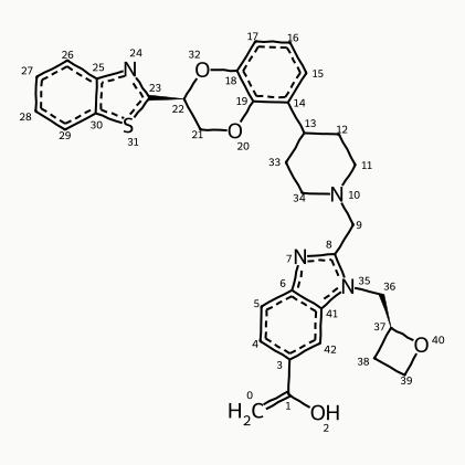 C=C(O)c1ccc2nc(CN3CCC(c4cccc5c4OC[C@@H](c4nc6ccccc6s4)O5)CC3)n(C[C@@H]3CCO3)c2c1